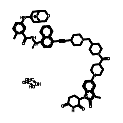 Cc1ccc(NC2CC3COCC(C2)N3)cc1C(=O)N[C@H](C)c1ccc(C#CC2CCN(CC3CCN(C(=O)C4CCN(c5ccc6c(c5)n(C)c(=O)n6C5CCC(=O)NC5=O)CC4)CC3)CC2)c2ccccc12.O=CO.O=CO